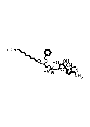 CCCCCCCCCCCCCCCCCCOC[C@H](CO[P@@](=O)(S)OC[C@H]1O[C@@](C#N)(c2ccc3c(N)ncnn23)[C@H](O)[C@@H]1O)OCc1ccccc1